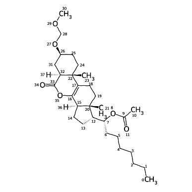 CCCCCCC[C@@H](OC(C)=O)[C@@H]1CC[C@H]2C3=C(CC[C@@]21C)[C@@]1(C)CC[C@H](OCOC)C[C@@H]1C(=O)O3